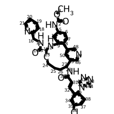 COC(=O)Nc1ccc2c(c1)N[C@@H](C(=O)NCc1ccccn1)CCCC[C@H](NC(=O)/C=C/c1cc(Cl)ccc1-n1cnnn1)c1cncc-2c1